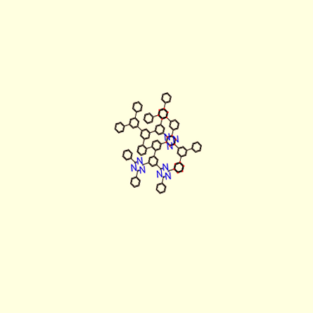 c1ccc(-c2cc(-c3ccccc3)cc(-c3cccc(-c4nc(-c5cc(-c6ccccc6)cc(-c6ccccc6)c5)nc(-c5ccc(-c6ccccc6-c6cc(-c7cc(-c8ccccc8)cc(-c8ccccc8)c7)cc(-c7cc(-c8ccccc8)cc(-c8ccccc8)c7)c6)c(-c6cc(-c7nc(-c8ccccc8)nc(-c8ccccc8)n7)cc(-c7nc(-c8ccccc8)nc(-c8ccccc8)n7)c6)c5)n4)c3)c2)cc1